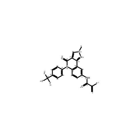 C=C(F)C(=O)Nc1ccc2c(c1)c1nn(C)cc1c(=O)n2-c1ccc(C(F)(F)F)cc1